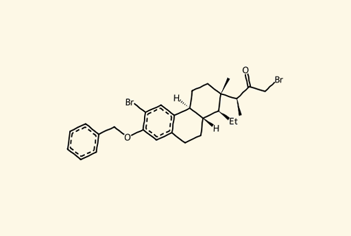 CC[C@H]1[C@@H]2CCc3cc(OCc4ccccc4)c(Br)cc3[C@H]2CC[C@]1(C)[C@H](C)C(=O)CBr